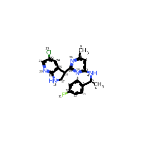 Cc1cc(N[C@@H](C)c2ccc(F)cc2)nc(C2CNc3ncc(Cl)cc32)n1